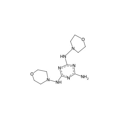 Nc1nc(NN2CCOCC2)nc(NN2CCOCC2)n1